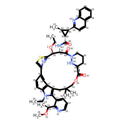 CCO[C@@H]1c2nc(cs2)-c2ccc3c(c2)c(c(-c2cccnc2[C@H](C)OC)n3CC)CC(C)(C)COC(=O)[C@@H]2CCCN(N2)C(=O)[C@H]1NC(=O)[C@@H]1[C@@H](C)[C@H]1c1ccc2ccccc2n1